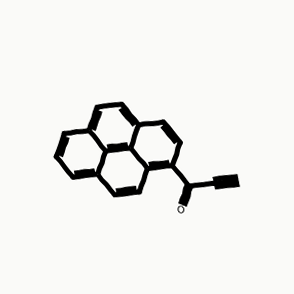 C#CC(=O)c1ccc2ccc3cccc4ccc1c2c34